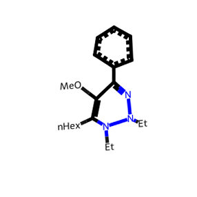 CCCCCCC1=C(OC)C(c2ccccc2)=NN(CC)N1CC